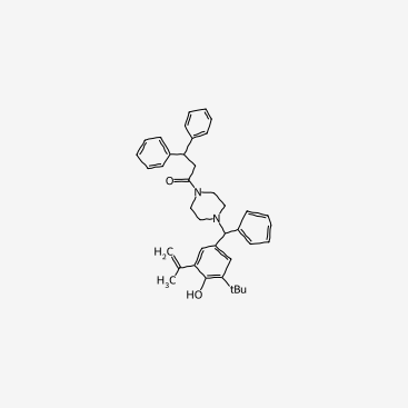 C=C(C)c1cc(C(c2ccccc2)N2CCN(C(=O)CC(c3ccccc3)c3ccccc3)CC2)cc(C(C)(C)C)c1O